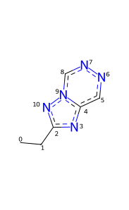 CCc1nc2cnncn2n1